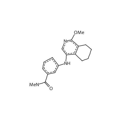 CNC(=O)c1cccc(Nc2cnc(OC)c3c2CCCC3)c1